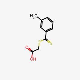 Cc1cccc(C(=S)SCC(=O)O)c1